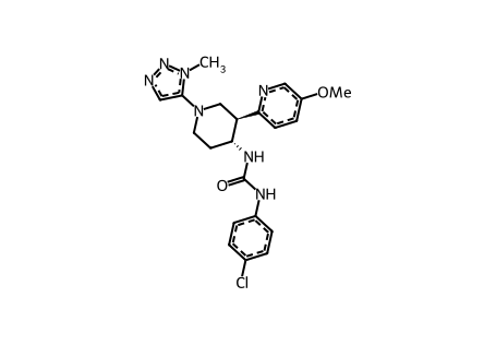 COc1ccc([C@@H]2CN(c3cnnn3C)CC[C@H]2NC(=O)Nc2ccc(Cl)cc2)nc1